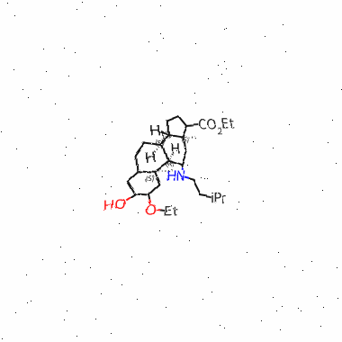 CCOC(=O)C1CC[C@H]2[C@@H]3CCC4CC(O)C(OCC)C[C@]4(C)[C@@H]3C(NCCC(C)C)C[C@]12C